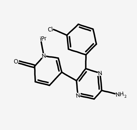 CC(C)n1cc(-c2ncc(N)nc2-c2cccc(Cl)c2)ccc1=O